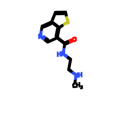 CNCCNC(=O)c1cncc2ccsc12